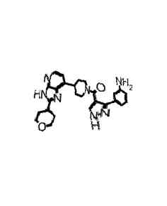 Nc1cccc(-c2n[nH]cc2C(=O)N2CCC(c3ccnc4[nH]c(C5CCOCC5)nc34)CC2)c1